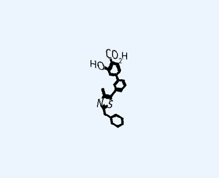 Cc1nc(CC2CCCCC2)sc1-c1cccc(-c2ccc(C(=O)O)c(O)c2)c1